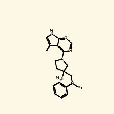 CCN(CC1(N)CCN(c2ncnc3[nH]cc(C)c23)C1)c1ccccc1